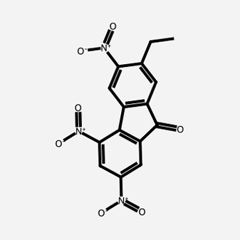 CCc1cc2c(cc1[N+](=O)[O-])-c1c(cc([N+](=O)[O-])cc1[N+](=O)[O-])C2=O